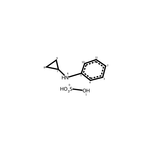 O=S(=O)(O)O.c1ccc(NC2CC2)cc1